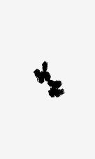 c1ccc(-n2c3ccc(-c4ccc5c(c4)c4ccccc4n5-c4cc5ccccc5c5ccccc45)cc3c3c4cccc5c4c(cc32)-c2ccccc2O5)cc1